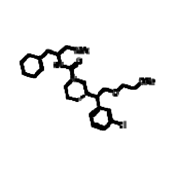 CNCC(CC1CCCCC1)NC(=O)N1CCC[C@@H]([C@@H](COCCOC)c2cccc(Cl)c2)C1